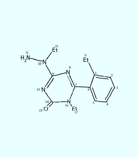 CCc1ccccc1-c1nc(N(N)CC)nc(=O)n1CC